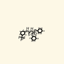 O=P(NC(=S)Nc1cccc(C(F)(F)F)c1)(Oc1ccccc1)Oc1ccccc1